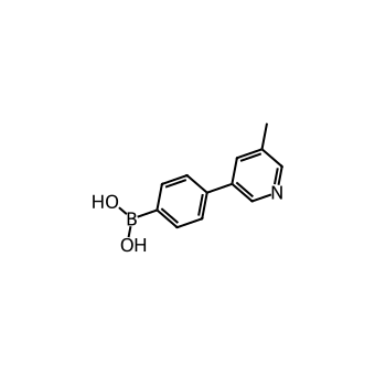 Cc1cncc(-c2ccc(B(O)O)cc2)c1